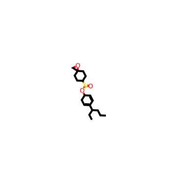 CCCC(CC)C1=CCC(OS(=O)C2CCC3(CC2)CO3)C=C1